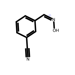 N#Cc1cccc(/C=N\O)c1